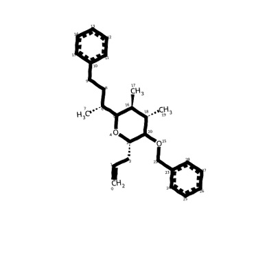 C=CC[C@@H]1OC([C@H](C)CCc2ccccc2)[C@@H](C)[C@H](C)C1OCc1ccccc1